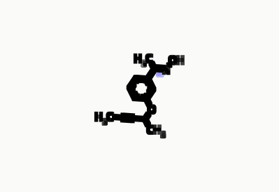 CC#CC(C)Oc1cccc(/C(C)=N/O)c1